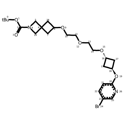 CC(C)(C)OC(=O)N1CC2(CC(OCCOCCO[C@H]3C[C@H](Oc4ccc(Br)cn4)C3)C2)C1